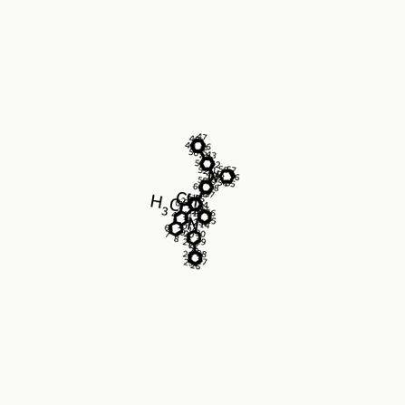 CC1(C)C2=CC3C=CC=CC3C(N(c3ccccc3)C3C=CC(c4ccccc4)=CC3)=C2c2ccc(-c3ccc(N(c4ccc(-c5ccccc5)cc4)C4C=CC#CC4)cc3)cc21